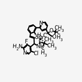 CC1(C)OC[C@@](C)(c2ccnc(-c3cccc4cc(C(N[S+]([O-])C(C)(C)C)c5c(Cl)cnc(N)c5F)sc34)c2)O1